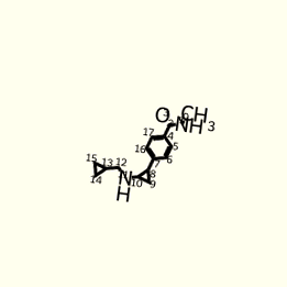 CNC(=O)c1ccc(C2CC2NCC2CC2)cc1